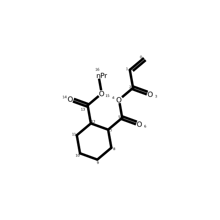 C=CC(=O)OC(=O)C1CCCCC1C(=O)OCCC